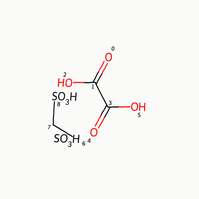 O=C(O)C(=O)O.O=S(=O)(O)CS(=O)(=O)O